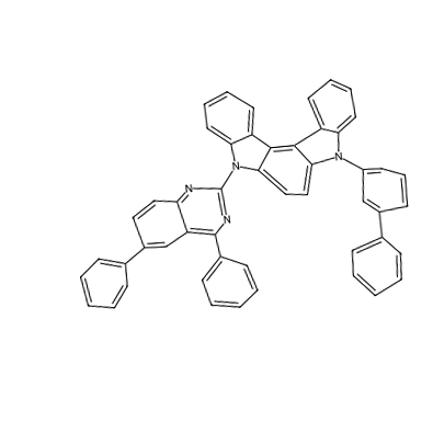 c1ccc(-c2cccc(-n3c4ccccc4c4c5c6ccccc6n(-c6nc(-c7ccccc7)c7cc(-c8ccccc8)ccc7n6)c5ccc43)c2)cc1